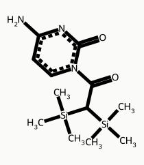 C[Si](C)(C)C(C(=O)n1ccc(N)nc1=O)[Si](C)(C)C